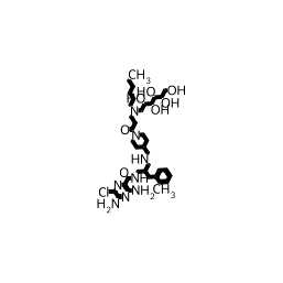 CCCCCCN(CCC(=O)N1CCC(CNCC(CNC(=O)c2nc(Cl)c(N)nc2N)Cc2ccccc2C)CC1)CC(O)C(O)C(O)C(O)CO